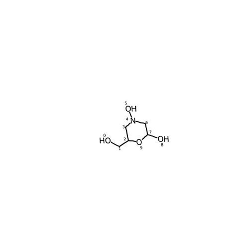 OCC1CN(O)CC(O)O1